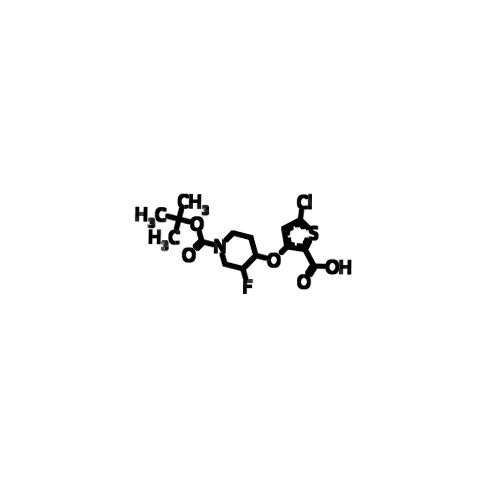 CC(C)(C)OC(=O)N1CCC(Oc2cc(Cl)sc2C(=O)O)C(F)C1